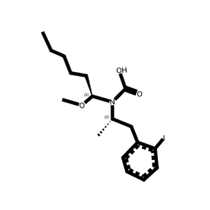 CCCCC[C@H](OC)N(C(=O)O)[C@@H](C)Cc1ccccc1I